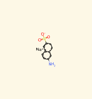 Nc1ccc2cc(S(=O)(=O)[O-])ccc2c1.[Na+]